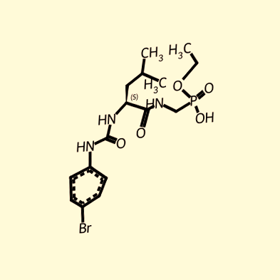 CCOP(=O)(O)CNC(=O)[C@H](CC(C)C)NC(=O)Nc1ccc(Br)cc1